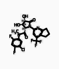 CN(C(=O)[C@@H]1[C@H](O)[C@H](O)C(=O)N1c1cc(C(F)(F)F)c2c(n1)CCC2)c1cc(Cl)c(F)cc1F